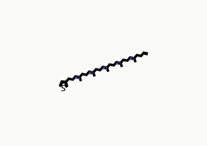 C=CCC/C(C)=C/CC/C(C)=C/CC/C(C)=C/CC/C(C)=C/CC/C(C)=C/CCc1ccsc1